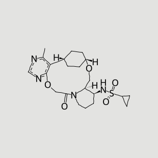 Cc1ncnc2c1[C@H]1CC[C@H](CC1)OC[C@H]1[C@@H](NS(=O)(=O)C3CC3)CCCN1C(=O)CO2